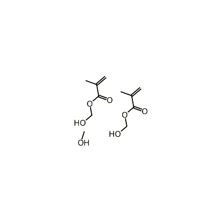 C=C(C)C(=O)OCO.C=C(C)C(=O)OCO.CO